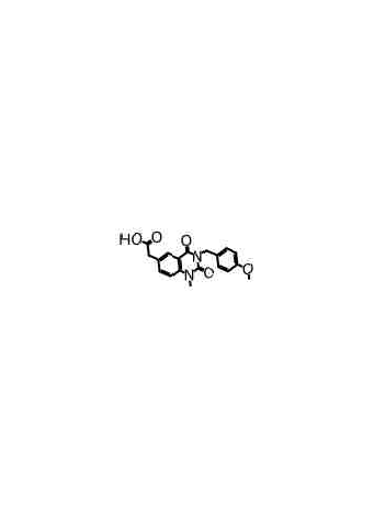 COc1ccc(Cn2c(=O)c3cc(CC(=O)O)ccc3n(C)c2=O)cc1